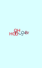 C[C@H](CCC[C@](C)(O)C(=O)O)[C@H]1CCC2/C(=C/Br)CCC[C@@]21C